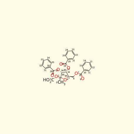 CC1(OC(=O)O)O[C@H](COC(=O)c2ccccc2)[C@@H](OC(=O)c2ccccc2)[C@H]1OC(=O)c1ccccc1